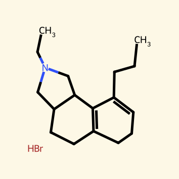 Br.CCCC1=CCCC2=C1C1CN(CC)CC1CC2